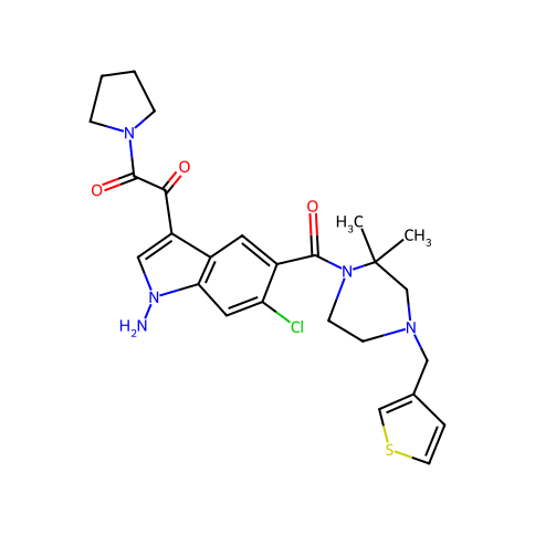 CC1(C)CN(Cc2ccsc2)CCN1C(=O)c1cc2c(C(=O)C(=O)N3CCCC3)cn(N)c2cc1Cl